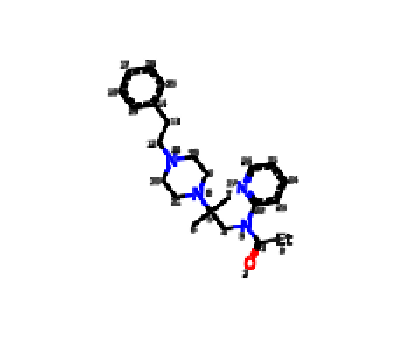 CCC(=O)N(CC(C)(C)N1CCN(CCc2ccccc2)CC1)c1ccccn1